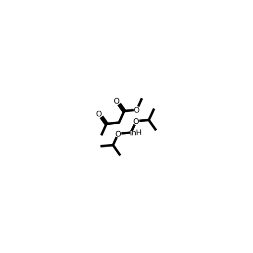 CC(C)[O][InH][O]C(C)C.COC(=O)CC(C)=O